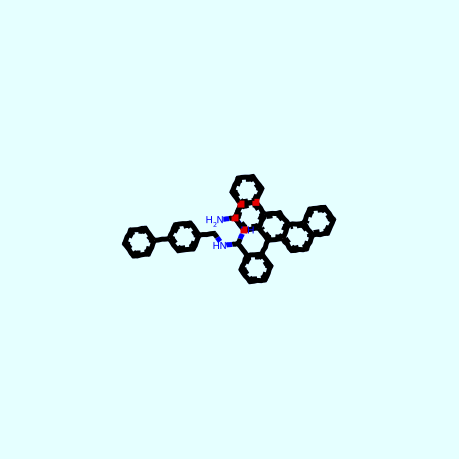 NC(NC(NCc1ccc(-c2ccccc2)cc1)c1ccccc1-c1c2ccccc2cc2c1ccc1ccccc12)c1ccccc1